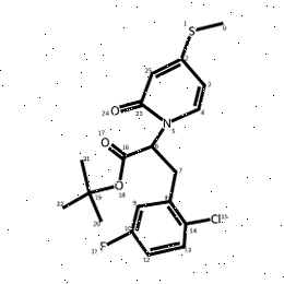 CSc1ccn(C(Cc2cc(F)ccc2Cl)C(=O)OC(C)(C)C)c(=O)c1